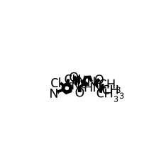 Cc1c(N2C(=O)C3C4CC(CN4C(=O)NC(C)(C)C)N3C2=O)ccc(C#N)c1Cl